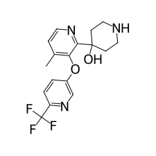 Cc1ccnc(C2(O)CCNCC2)c1Oc1ccc(C(F)(F)F)nc1